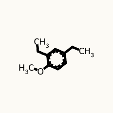 CCc1ccc(OC)c(CC)c1